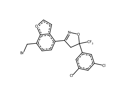 FC(F)(F)C1(c2cc(Cl)cc(Cl)c2)CC(c2ccc(CBr)c3occc23)=NO1